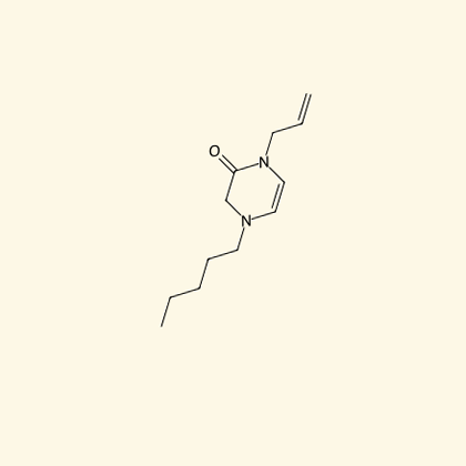 C=CCN1C=CN(CCCCC)CC1=O